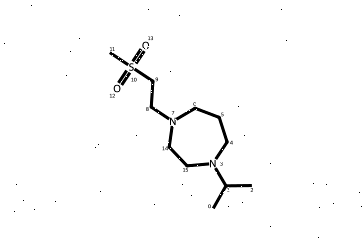 CC(C)N1CCCN(CCS(C)(=O)=O)CC1